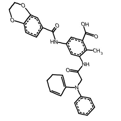 Cc1c(NC(=O)CN(C2=CCCC=C2)c2ccccc2)cc(NC(=O)c2ccc3c(c2)OCCO3)cc1C(=O)O